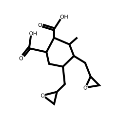 CC1C(CC2CO2)C(CC2CO2)CC(C(=O)O)C1C(=O)O